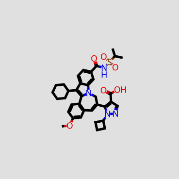 COc1ccc2c(c1)C=C(c1c(C(=O)O)cnn1C1CCC1)Cn1c-2c(C2CCCCC2)c2ccc(C(=O)NS(=O)(=O)C(C)C)cc21